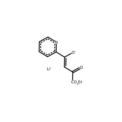 CCOC(=O)C(=O)C=C([O-])c1ccccn1.[Li+]